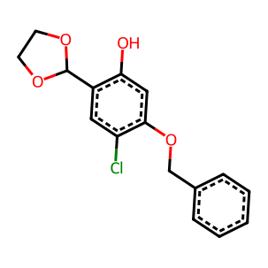 Oc1cc(OCc2ccccc2)c(Cl)cc1C1OCCO1